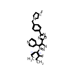 C=C/C(F)=C(\C=C/C)n1nnc(-c2nc(-c3ccc(CN4CC[C@H](F)C4)cc3)no2)c1-c1ccncc1